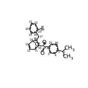 CC(C)c1ccc(S(=O)(=O)C2C3C=CC(O3)[C@H]2Cc2ccccc2F)cc1